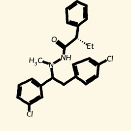 CC[C@H](C(=O)NN(C)C(Cc1ccc(Cl)cc1)c1cccc(Cl)c1)c1ccccc1